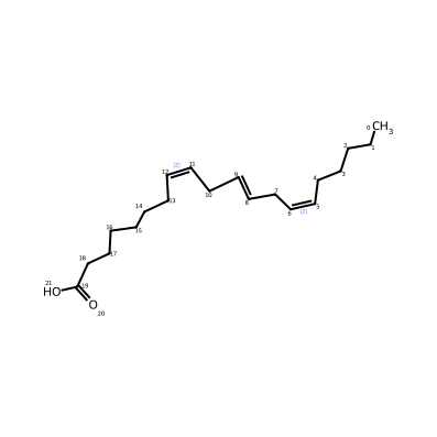 CCCCC/C=C\CC=CC/C=C\CCCCCCC(=O)O